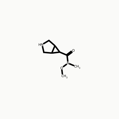 CON(C)C(=O)C1C2CNCC21